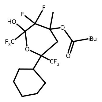 CCC(C)C(=O)OC1(C)CC(C2CCCCC2)(C(F)(F)F)OC(O)(C(F)(F)F)C1(F)F